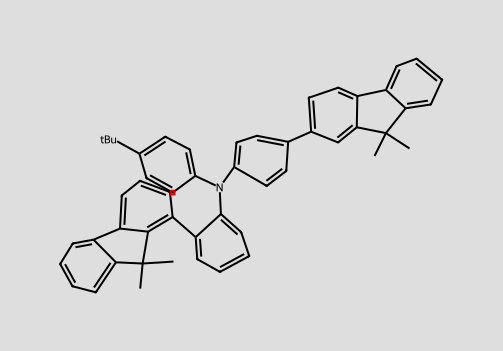 CC(C)(C)c1ccc(N(c2ccc(-c3ccc4c(c3)C(C)(C)c3ccccc3-4)cc2)c2ccccc2-c2cccc3c2C(C)(C)c2ccccc2-3)cc1